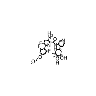 COCCOc1cc(F)c(-c2nc(C(=O)Nc3cnccc3[C@H]3C[C@@H](O)[C@](C)(O)[C@@H](C)C3)c(N)cc2F)c(F)c1